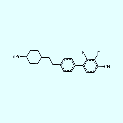 CCCC1CCC(CCc2ccc(-c3ccc(C#N)c(F)c3F)cc2)CC1